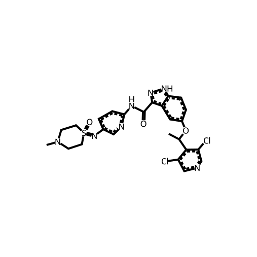 CC(Oc1ccc2[nH]nc(C(=O)Nc3ccc(N=S4(=O)CCN(C)CC4)cn3)c2c1)c1c(Cl)cncc1Cl